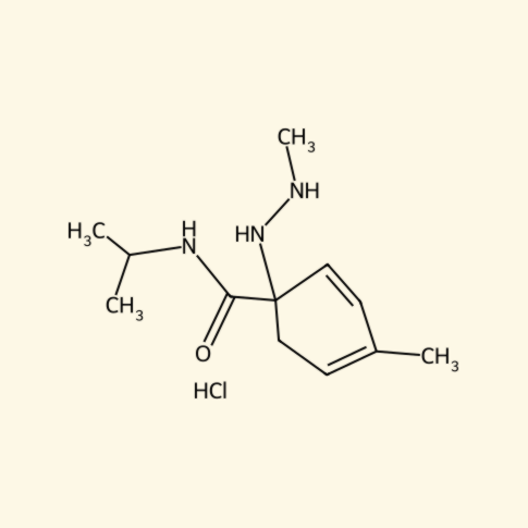 CNNC1(C(=O)NC(C)C)C=CC(C)=CC1.Cl